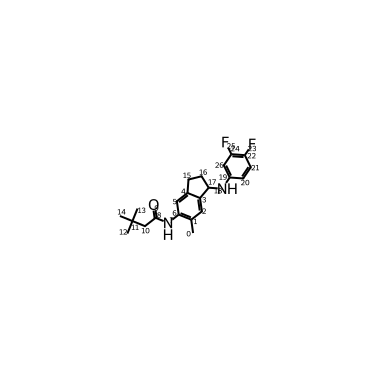 Cc1cc2c(cc1NC(=O)CC(C)(C)C)CCC2Nc1ccc(F)c(F)c1